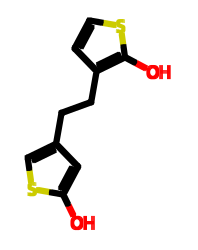 Oc1cc(CCc2ccsc2O)cs1